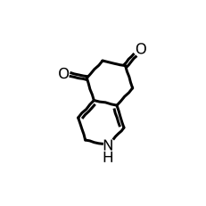 O=C1CC(=O)C2=CCNC=C2C1